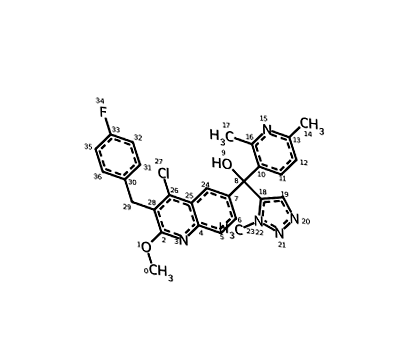 COc1nc2ccc(C(O)(c3ccc(C)nc3C)c3cnnn3C)cc2c(Cl)c1Cc1ccc(F)cc1